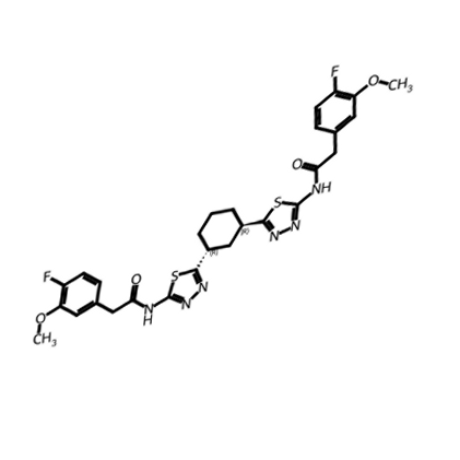 COc1cc(CC(=O)Nc2nnc([C@@H]3CCC[C@@H](c4nnc(NC(=O)Cc5ccc(F)c(OC)c5)s4)C3)s2)ccc1F